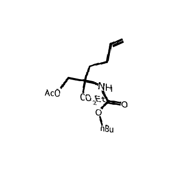 C=CCCC(COC(C)=O)(NC(=O)OCCCC)C(=O)OCC